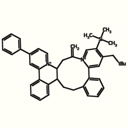 C=C1CC2C(CCc3ccccc3-c3cc(CC(C)(C)C)c([Si](C)(C)C)c[n+]31)c1ccccc1-c1cc(-c3ccccc3)cc[n+]12